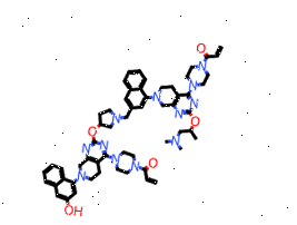 C=CC(=O)N1CCN(c2nc(OC(C)CN(C)C)nc3c2CCN(c2cc(CN4CCC(Oc5nc6c(c(N7CCN(C(=O)C=C)CC7)n5)CCN(c5cc(O)cc7ccccc57)C6)C4)cc4ccccc24)C3)CC1